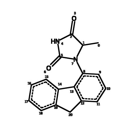 CC1C(=O)NC(=O)N1c1cccc2c1-c1ccccc1C2